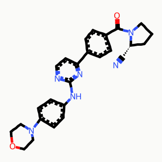 N#C[C@H]1CCCN1C(=O)c1ccc(-c2ccnc(Nc3ccc(N4CCOCC4)cc3)n2)cc1